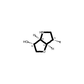 O[C@H]1CO[C@H]2[C@@H]1NC[C@@H]2I